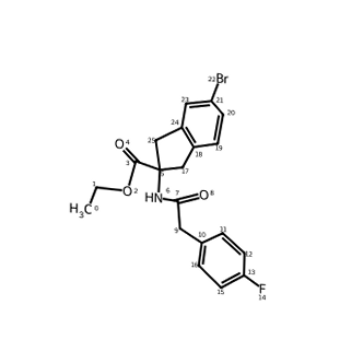 CCOC(=O)C1(NC(=O)Cc2ccc(F)cc2)Cc2ccc(Br)cc2C1